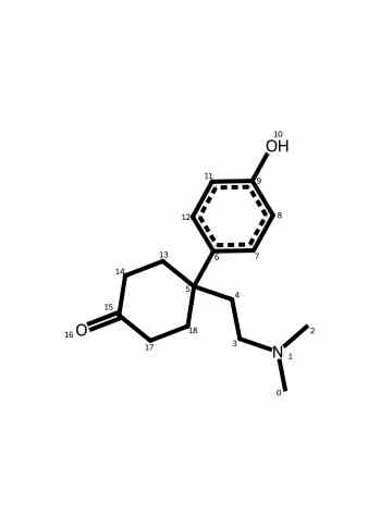 CN(C)CCC1(c2ccc(O)cc2)CCC(=O)CC1